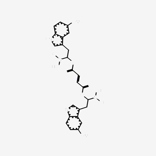 COc1ccc2[nH]cc(CC(OC(=O)/C=C/C(=O)OC(Cc3c[nH]c4ccc(OC)cc34)N(C)C)N(C)C)c2c1